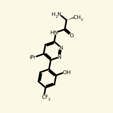 CC(C)c1cc(NC(=O)[C@@H](C)N)nnc1-c1ccc(C(F)(F)F)cc1O